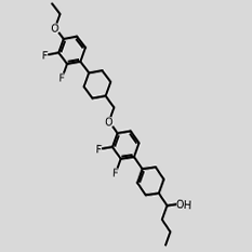 CCCC(O)C1CC=C(c2ccc(OCC3CCC(c4ccc(OCC)c(F)c4F)CC3)c(F)c2F)CC1